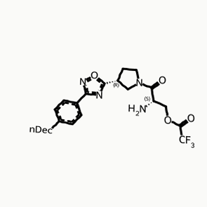 CCCCCCCCCCc1ccc(-c2noc([C@@H]3CCN(C(=O)[C@@H](N)COC(=O)C(F)(F)F)C3)n2)cc1